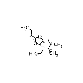 CCCC1OC[C@@H](C[C@H](C)[C@@H](C)CCC)O1